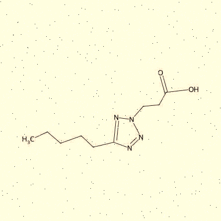 CCCCCc1nnn(CCC(=O)O)n1